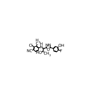 Cc1c(N[C@@H](c2nnc(-c3ccc(F)c(O)c3)o2)[C@H](C)O)ccc(C#N)c1Cl